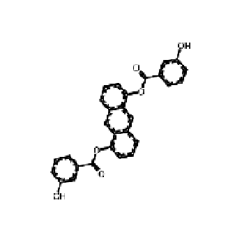 O=C(Oc1cccc2cc3c(OC(=O)c4cccc(O)c4)cccc3cc12)c1cccc(O)c1